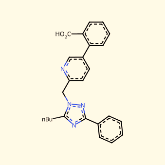 CCCCc1nc(-c2ccccc2)nn1Cc1ccc(-c2ccccc2C(=O)O)cn1